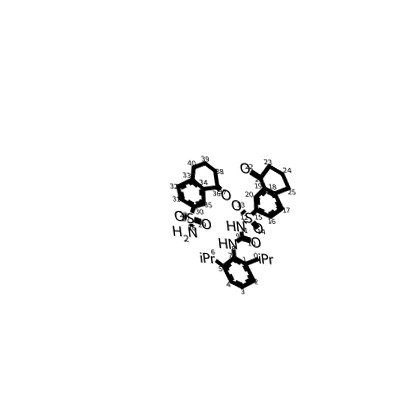 CC(C)c1cccc(C(C)C)c1NC(=O)NS(=O)(=O)c1ccc2c(c1)C(=O)CCC2.NS(=O)(=O)c1ccc2c(c1)C(=O)CCC2